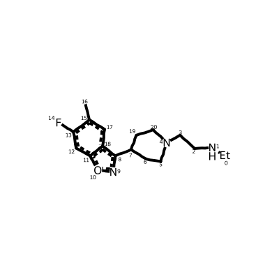 CCNCCN1CCC(c2noc3cc(F)c(C)cc23)CC1